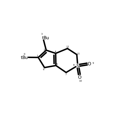 CC(C)(C)C1=C(C(C)(C)C)C2=C(C1)CS(=O)(=O)CC2